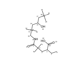 CCC(CC(C)(C)C(=O)NC[N+](C)(C)CC(O)C[N+](C)(C)C)C(=O)O